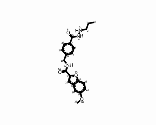 CCCNNC(=O)c1ccc(CNC(=O)c2cc3cc(OC)ccc3o2)cc1